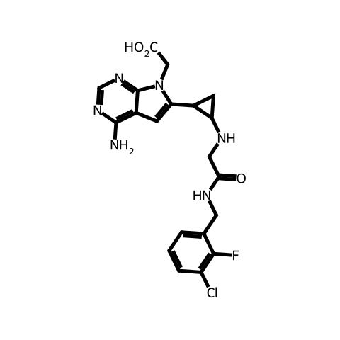 Nc1ncnc2c1cc(C1CC1NCC(=O)NCc1cccc(Cl)c1F)n2CC(=O)O